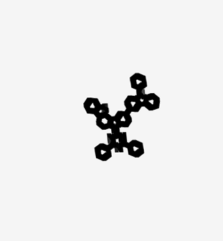 c1ccc(-c2nc(-c3ccccc3)nc(-n3c4c(c5cc(-c6ccc7c(c6)c6ccccc6n7-c6ccccc6)ccc53)-c3sc5ccccc5c3CC4)n2)cc1